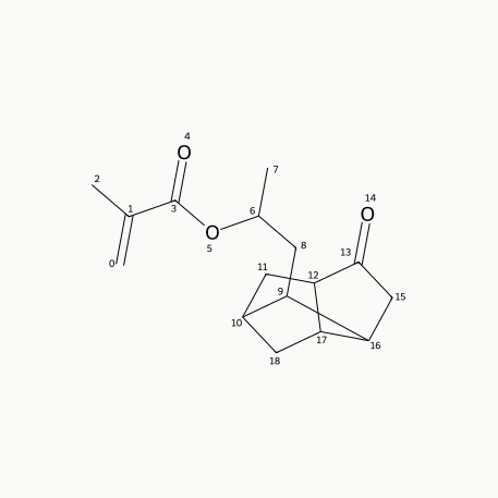 C=C(C)C(=O)OC(C)CC1C2CC3C(=O)CC1C3C2